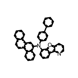 c1ccc(-c2ccc(N(c3cc4c5ccccc5ccc4c4ccccc34)c3cccc4c3oc3cccnc34)cc2)cc1